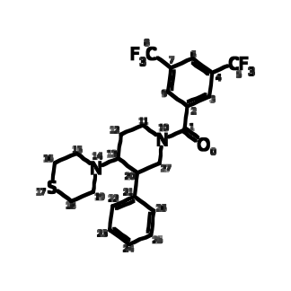 O=C(c1cc(C(F)(F)F)cc(C(F)(F)F)c1)N1CCC(N2CCSCC2)C(c2ccccc2)C1